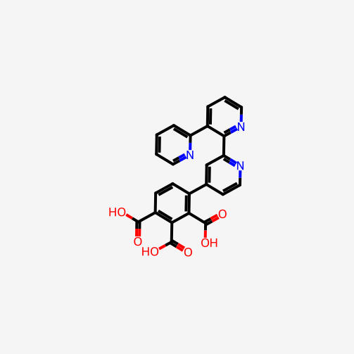 O=C(O)c1ccc(-c2ccnc(-c3ncccc3-c3ccccn3)c2)c(C(=O)O)c1C(=O)O